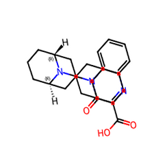 O=C(O)c1nc2ccccc2n(C2C[C@H]3CCC[C@H](C2)N3C2CC3CCCC(C3)C2)c1=O